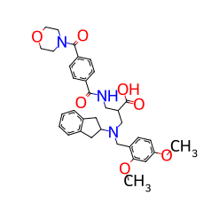 COc1ccc(CN(CC(CNC(=O)c2ccc(C(=O)N3CCOCC3)cc2)C(=O)O)C2Cc3ccccc3C2)c(OC)c1